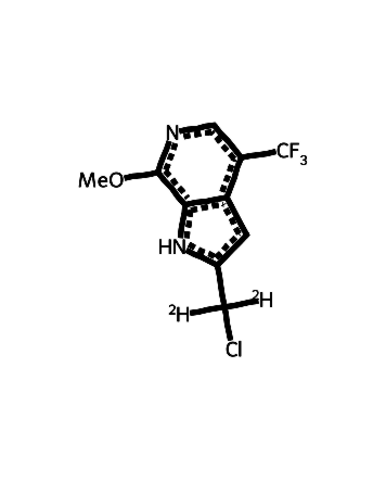 [2H]C([2H])(Cl)c1cc2c(C(F)(F)F)cnc(OC)c2[nH]1